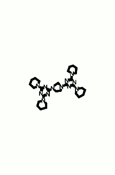 C1CCN(c2nc(N3CCCCC3)nc(N3CCN(c4nc(N5CCCCC5)nc(N5CCCCC5)n4)CC3)n2)CC1